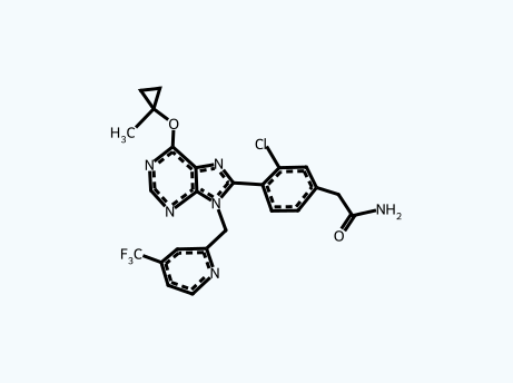 CC1(Oc2ncnc3c2nc(-c2ccc(CC(N)=O)cc2Cl)n3Cc2cc(C(F)(F)F)ccn2)CC1